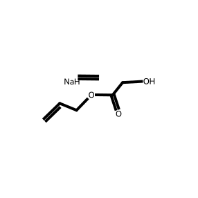 C=C.C=CCOC(=O)CO.[NaH]